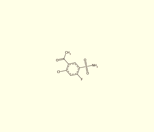 CC(=O)c1cc(S(N)(=O)=O)c(F)cc1Cl